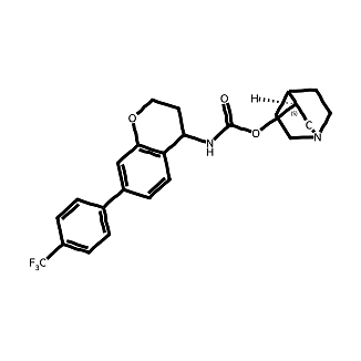 O=C(NC1CCOc2cc(-c3ccc(C(F)(F)F)cc3)ccc21)O[C@@H]1CN2CCC1CC2